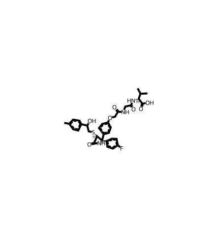 Cc1ccc(C(O)CS[C@H]2C(=O)N[C@@]2(c2ccc(F)cc2)c2ccc(OCC(=O)NCC(=O)N[C@@H](C(=O)O)C(C)C)cc2)cc1